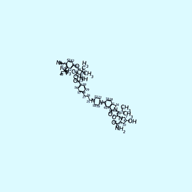 CC(C)[C@H](C(=O)N1CC(O)CC1C(N)=O)N1Cc2ccc(N3CCN(CCCc4ccc(C(=O)NC5C(C)(C)C(Oc6ccc(C#N)c(C(F)(F)F)c6)C5(C)C)cc4)CC3)cc2C1=O